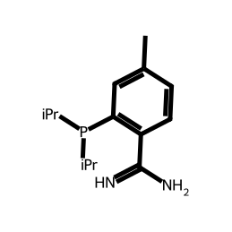 Cc1ccc(C(=N)N)c(P(C(C)C)C(C)C)c1